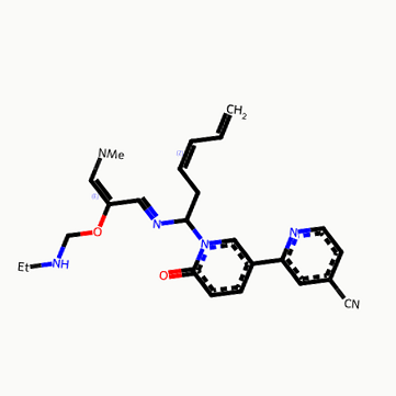 C=C/C=C\CC(N=C/C(=C\NC)OCNCC)n1cc(-c2cc(C#N)ccn2)ccc1=O